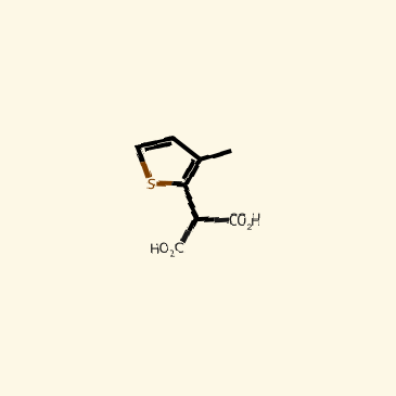 Cc1ccsc1C(C(=O)O)C(=O)O